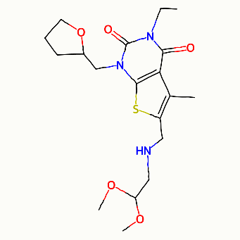 CCn1c(=O)c2c(C)c(CNCC(OC)OC)sc2n(CC2CCCO2)c1=O